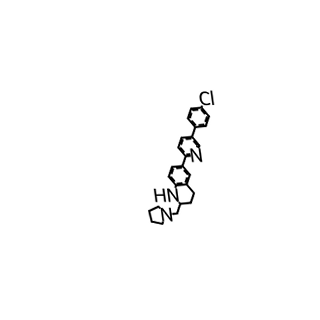 Clc1ccc(-c2ccc(-c3ccc4c(c3)CCC(CN3CCCC3)N4)nc2)cc1